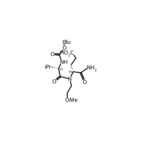 COCCN(C(=O)[C@@H](NC(=O)OC(C)(C)C)C(C)C)[C@H](CCC(=O)O)C(N)=O